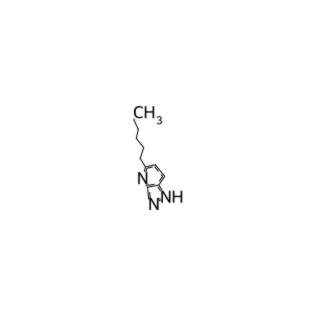 CCCCCCc1ccc2[nH]ncc2n1